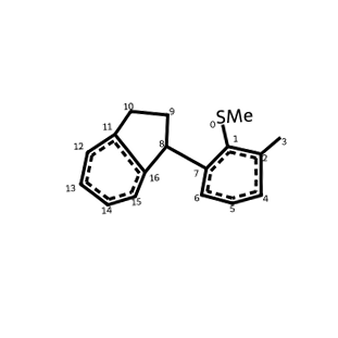 CSc1c(C)cccc1C1CCc2ccccc21